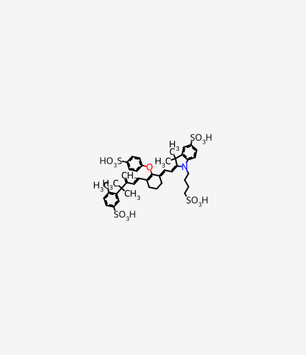 C=C(/C=C/C1=C(Oc2ccc(S(=O)(=O)O)cc2)C(=C/C=C2/N(CCCCS(=O)(=O)O)c3ccc(S(=O)(=O)O)cc3C2(C)C)/CCC1)C(C)(C)c1cc(S(=O)(=O)O)ccc1C